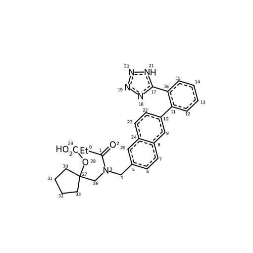 CCC(=O)N(Cc1ccc2cc(-c3ccccc3-c3nnn[nH]3)ccc2c1)CC1(OC(=O)O)CCCC1